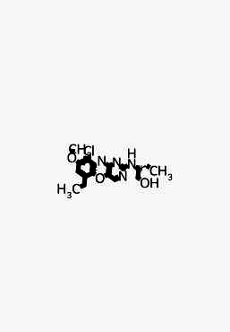 CCc1cc(OC)c(Cl)cc1Oc1cnc(N[C@H](CC)CO)nc1N